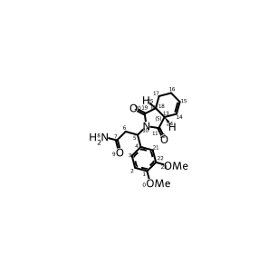 COc1ccc(C(CC(N)=O)N2C(=O)[C@H]3C=CCC[C@H]3C2=O)cc1OC